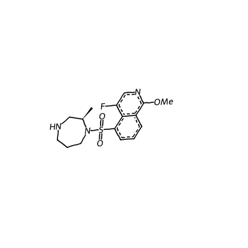 COc1ncc(F)c2c(S(=O)(=O)N3CCCNC[C@H]3C)cccc12